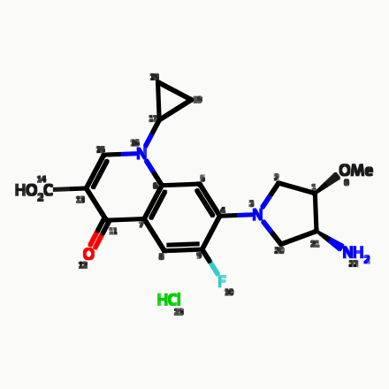 CO[C@@H]1CN(c2cc3c(cc2F)c(=O)c(C(=O)O)cn3C2CC2)C[C@@H]1N.Cl